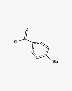 CCC(C)c1ccc(C(=O)Cl)cc1